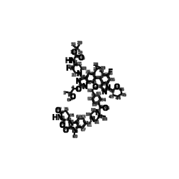 CO[C@@H](C)COc1nc(N2CC[C@@H](NC(=O)OC(C)(C)C)[C@@H](F)C2)c2cc(C3CC3)c(-c3c(C)c(F)cc4c3cnn4C3CCCCO3)c(OCc3ccc(C(=O)N4CCN(Cc5ccc6c(c5)n(C)c(=O)n6C5CCC(=O)NC5=O)C[C@@H]4C)cc3)c2n1